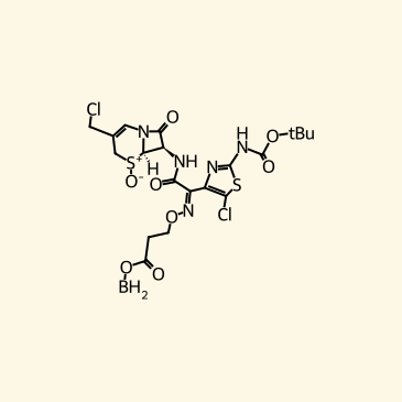 BOC(=O)CCO/N=C(\C(=O)N[C@@H]1C(=O)N2C=C(CCl)C[S+]([O-])[C@H]12)c1nc(NC(=O)OC(C)(C)C)sc1Cl